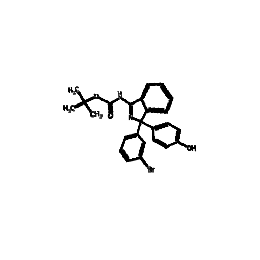 CC(C)(C)OC(=O)NC1=NC(c2ccc(O)cc2)(c2cccc(Br)c2)c2ccccc21